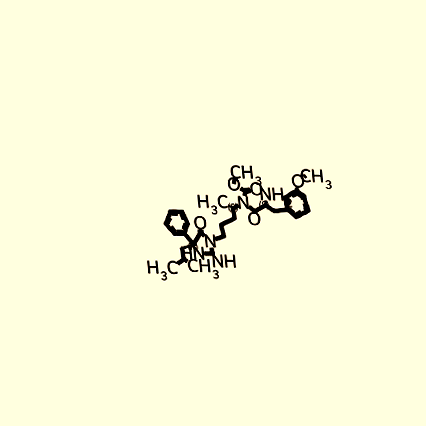 COC(=O)N(C(=O)[C@@H](N)Cc1cccc(OC)c1)[C@@H](C)CCCN1C(=N)N[C@](CC(C)C)(c2ccccc2)C1=O